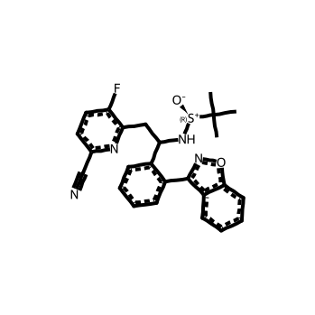 CC(C)(C)[S@+]([O-])NC(Cc1nc(C#N)ccc1F)c1ccccc1-c1noc2ccccc12